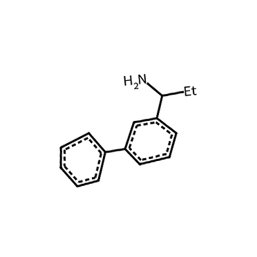 CCC(N)c1cccc(-c2ccccc2)c1